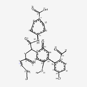 CN/C=C\C(=N)CC(C(=O)Nc1ccc(C(=O)O)cc1)n1cc(OC)c(-c2cc(Cl)ccc2C(C)=O)cc1=O